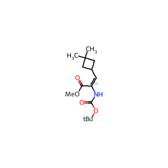 COC(=O)/C(=C\C1CC(C)(C)C1)NC(=O)OC(C)(C)C